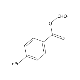 CCCc1ccc(C(=O)O[C]=O)cc1